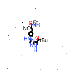 CCNC(=O)/C(C#N)=C/c1ccc(Nc2cnc3[nH]cc(C(=O)C(C)(C)C)c3n2)cc1